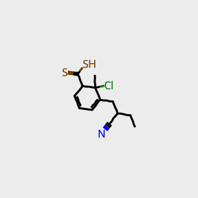 CCC(C#N)CC1=CC=CC(C(=S)S)C1(C)Cl